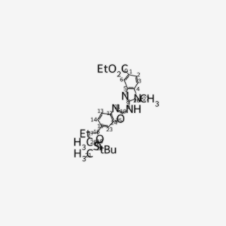 CCOC(=O)c1ccc2c(c1)nc(Nc1nc3ccc(C(CC)O[Si](C)(C)C(C)(C)C)cc3o1)n2C